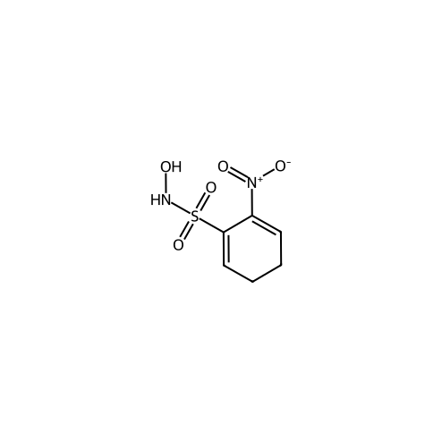 O=[N+]([O-])C1=CCCC=C1S(=O)(=O)NO